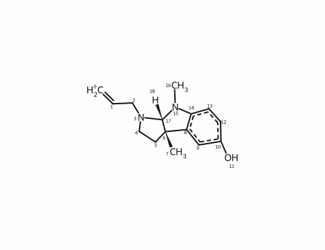 C=CCN1CC[C@@]2(C)c3cc(O)ccc3N(C)[C@@H]12